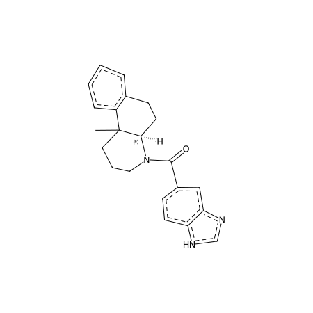 CC12CCCN(C(=O)c3ccc4[nH]cnc4c3)[C@@H]1CCc1ccccc12